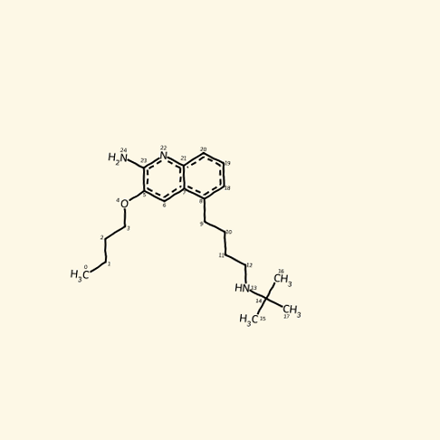 CCCCOc1cc2c(CCCCNC(C)(C)C)cccc2nc1N